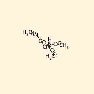 COc1ccc(-c2nc(-c3ccc(OCCCN4CCN(C)CC4)cc3Cl)[nH]c2-c2ccc(OC)cc2)cc1